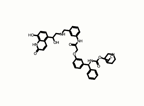 O=C(COc1cccc([C@@H](NC(=O)OC2CN3CCC2CC3)c2ccccc2)c1)Nc1cccc(CNCC(O)c2ccc(O)c3[nH]c(=O)ccc23)c1